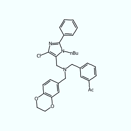 CCCCn1c(-c2ccccc2)nc(Cl)c1CN(Cc1cccc(C(C)=O)c1)Cc1ccc2c(c1)OCCO2